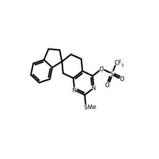 CSc1nc2c(c(OS(=O)(=O)C(F)(F)F)n1)CCC1(CCc3ccccc31)C2